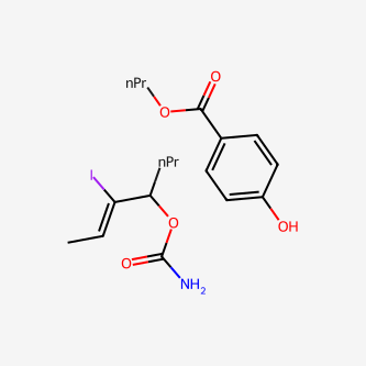 CC=C(I)C(CCC)OC(N)=O.CCCOC(=O)c1ccc(O)cc1